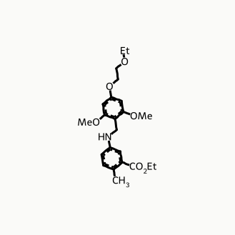 CCOCCOc1cc(OC)c(CNc2ccc(C)c(C(=O)OCC)c2)c(OC)c1